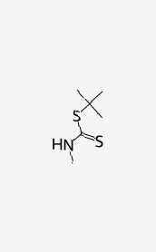 CNC(=S)SC(C)(C)C